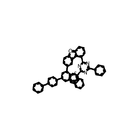 c1ccc(-c2ccc(-c3cc(-c4ccc5oc6cccc(-c7nc(-c8ccccc8)nc(-c8ccccc8)n7)c6c5c4)c4sc5ccccc5c4c3)cc2)cc1